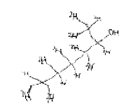 [2H]C([2H])([2H])C([2H])([2H])C([2H])([2H])C([2H])([2H])C([2H])(O)C([2H])([2H])[2H]